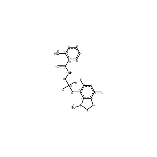 CCCCN1CCc2c(C)cc(C)c(CC(C)(C)CNC(=O)c3ccccc3O)c21